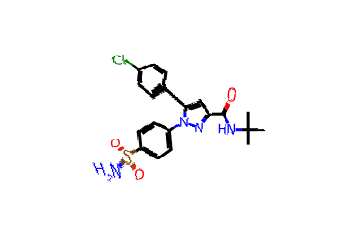 CC(C)(C)NC(=O)c1cc(-c2ccc(Cl)cc2)n(-c2ccc(S(N)(=O)=O)cc2)n1